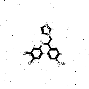 COc1ccc(C(Cn2ccnc2)Sc2ccc(Cl)c(Cl)c2)cc1